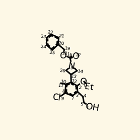 CCOc1c(CCO)cc(Cl)c(C)c1C1CN(C(=O)OCc2ccccc2)C1